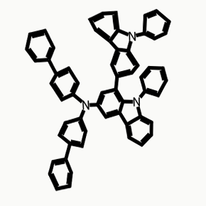 c1ccc(-c2ccc(N(c3ccc(-c4ccccc4)cc3)c3cc(-c4ccc5c(c4)c4ccccc4n5-c4ccccc4)c4c(c3)c3ccccc3n4-c3ccccc3)cc2)cc1